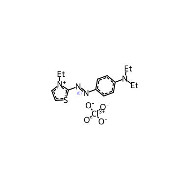 CCN(CC)c1ccc(/N=N/c2scc[n+]2CC)cc1.[O-][Cl+3]([O-])([O-])[O-]